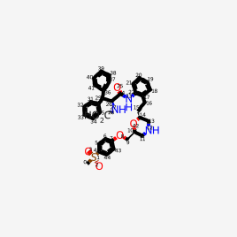 CS(=O)(=O)c1ccc(OC[C@@H]2CNC[C@@H](CCc3ccccc3NC(=O)[C@@H](NC(=O)O)C(c3ccccc3)c3ccccc3)O2)cc1